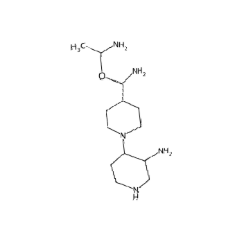 CC(N)OC(N)C1CCN(C2CCNCC2N)CC1